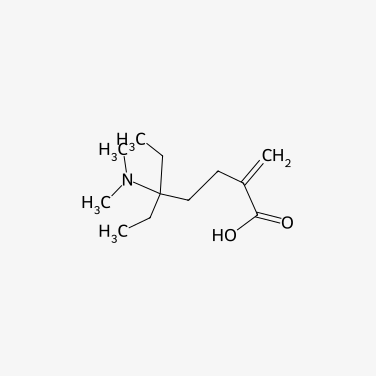 C=C(CCC(CC)(CC)N(C)C)C(=O)O